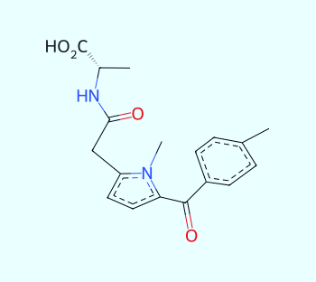 Cc1ccc(C(=O)c2ccc(CC(=O)N[C@@H](C)C(=O)O)n2C)cc1